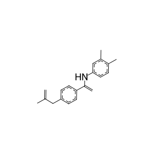 C=C(C)Cc1ccc(C(=C)Nc2ccc(C)c(C)c2)cc1